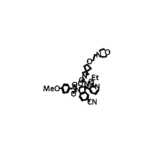 CCOc1ncccc1[C@@]1(NC(=O)N2CC3(CC(OCCN4CCOCC4)C3)C2)C(=O)N(S(=O)(=O)c2ccc(OC)cc2)c2ccc(C#N)cc21